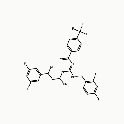 NC(CC(N)c1cc(F)cc(F)c1)N/C(=N\C(=O)c1ccc(C(F)(F)F)cc1)NCc1ccc(F)cc1Cl